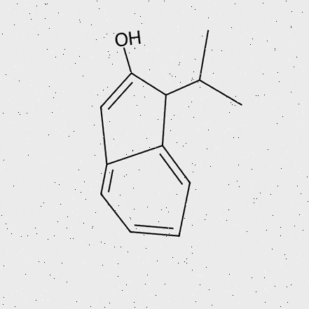 CC(C)C1C(O)=Cc2ccccc21